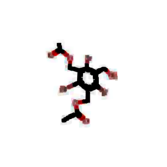 CC(=O)OCc1c(Br)c(CO)c(Br)c(COC(C)=O)c1Br